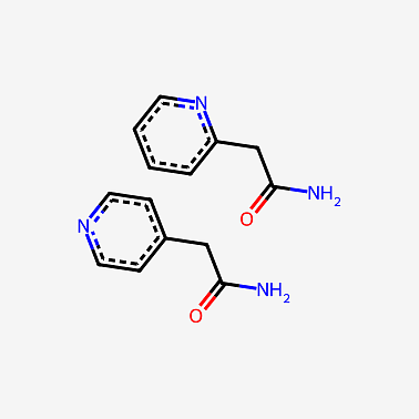 NC(=O)Cc1ccccn1.NC(=O)Cc1ccncc1